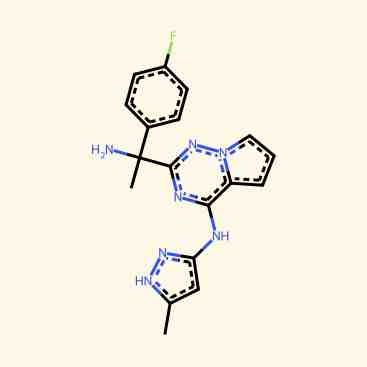 Cc1cc(Nc2nc(C(C)(N)c3ccc(F)cc3)nn3cccc23)n[nH]1